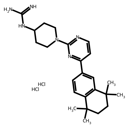 CC1(C)CCC(C)(C)c2cc(-c3ccnc(N4CCC(NC(=N)N)CC4)n3)ccc21.Cl.Cl